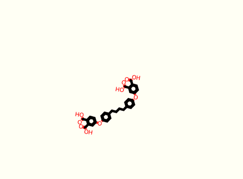 O=C(O)c1ccc(Oc2ccc(CCCCc3ccc(Oc4ccc(C(=O)O)c(C(=O)O)c4)cc3)cc2)cc1C(=O)O